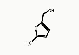 Cc1ccc(CO)s1